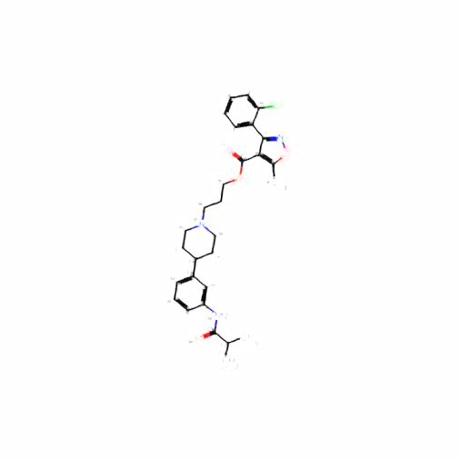 Cc1onc(-c2ccccc2Cl)c1C(=O)OCCCN1CCC(c2cccc(NC(=O)C(C)C)c2)CC1